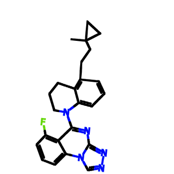 CC1(CCc2cccc3c2CCCN3c2nc3nncn3c3cccc(F)c23)CC1